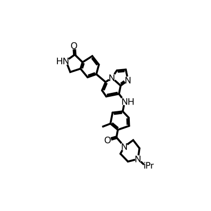 Cc1cc(Nc2ccc(-c3ccc4c(c3)CNC4=O)n3ccnc23)ccc1C(=O)N1CCN(C(C)C)CC1